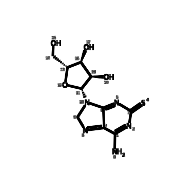 NC1=NC(=S)N=C2C1=NCN2[C@@H]1O[C@H](CO)[C@@H](O)[C@H]1O